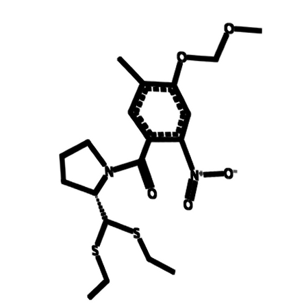 CCSC(SCC)[C@@H]1CCCN1C(=O)c1cc(C)c(OCOC)cc1[N+](=O)[O-]